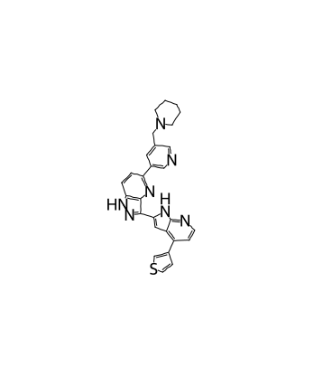 c1cc(-c2ccsc2)c2cc(-c3n[nH]c4ccc(-c5cncc(CN6CCCCC6)c5)nc34)[nH]c2n1